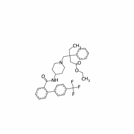 CCOC(=O)CC(CC)(CN1CCC(NC(=O)c2ccccc2-c2ccc(C(F)(F)F)cc2)CC1)c1ccccc1